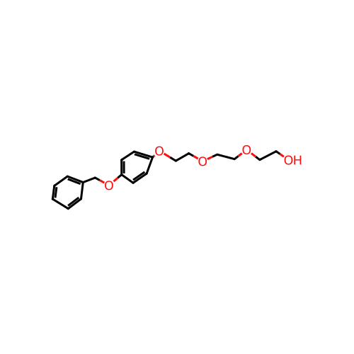 OCCOCCOCCOc1ccc(OCc2ccccc2)cc1